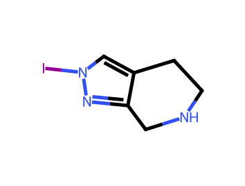 In1cc2c(n1)CNCC2